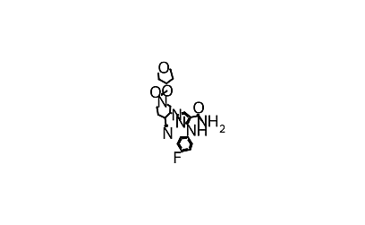 N#CC1CCN(C(=O)OC2CCOCC2)CC1n1cc(C(N)=O)c(Nc2ccc(F)cc2)n1